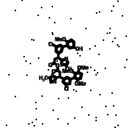 COc1ccc(O)cc1-c1cc(Cl)cc(C(CC(=O)OC(=O)CC(c2cc(Cl)cc(-c3c(OC)ccc(OC)c3OC)c2)c2ncc(C)s2)c2ncc(C)s2)c1